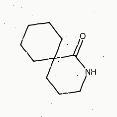 O=C1NCCCC12CCCCC2